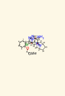 COCOc1ccccc1-c1cc(N2CC3CCC(C2)N3c2ccnc(Br)c2)c(N)nn1